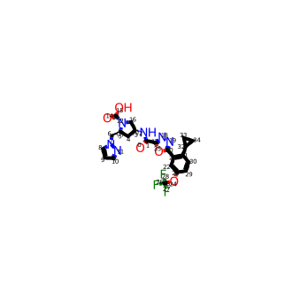 O=C(N[C@@H]1C[C@@H](Cn2cccn2)N(C(=O)O)C1)c1nnc(-c2cc(OC(F)(F)F)ccc2C2CC2)o1